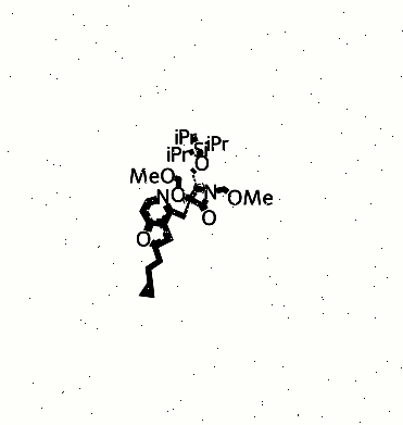 COCO[C@@]1(Cc2nccc3oc(CCC4CC4)cc23)C(=O)N(COC)[C@H]1CO[Si](C(C)C)(C(C)C)C(C)C